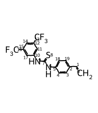 C=Cc1ccc(NC(=S)Nc2cc(C(F)(F)F)cc(C(F)(F)F)c2)cc1